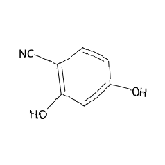 N#Cc1ccc(O)cc1O